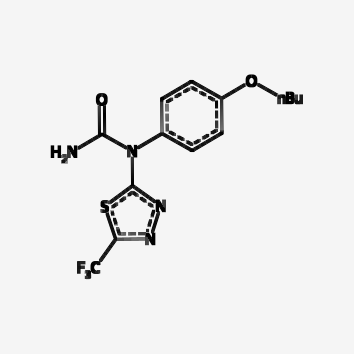 CCCCOc1ccc(N(C(N)=O)c2nnc(C(F)(F)F)s2)cc1